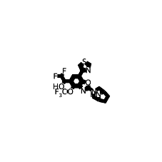 OC(c1cc(-c2cscn2)c2oc(N3CC4CCC(C3)N4)nc2c1OC(F)(F)F)C(F)F